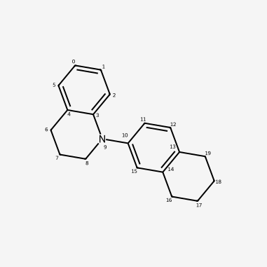 c1ccc2c(c1)CCCN2c1ccc2c(c1)CCCC2